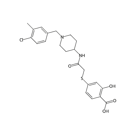 Cc1cc(CN2CCC(NC(=O)CSc3ccc(C(=O)O)c(O)c3)CC2)ccc1Cl